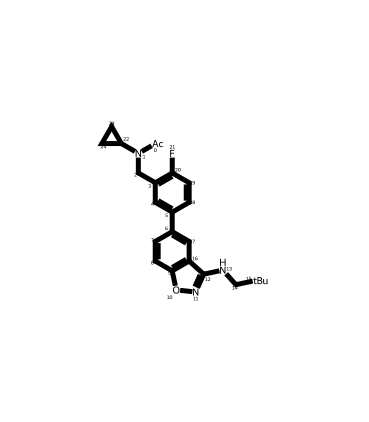 CC(=O)N(Cc1cc(-c2ccc3onc(NCC(C)(C)C)c3c2)ccc1F)C1CC1